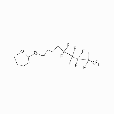 FC(F)(F)C(F)(F)C(F)(F)C(F)(F)C(F)(F)CCCCOC1CCCCO1